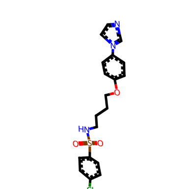 O=S(=O)(NCCCCOc1ccc(-n2ccnc2)cc1)c1ccc(Cl)cc1